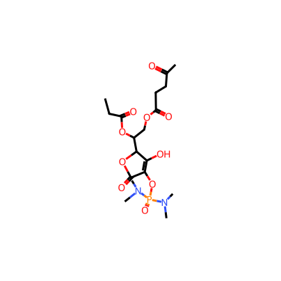 CCC(=O)OC(COC(=O)CCC(C)=O)C1OC(=O)C(OP(=O)(N(C)C)N(C)C)=C1O